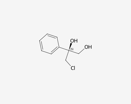 OC[C@](O)(CCl)c1ccccc1